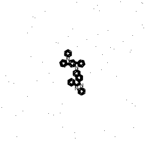 c1ccc(-c2nc3ccccc3nc2-c2ccc3cc(-n4c5ccccc5c5cc6c(cc54)c4ccccc4n6-c4ccccc4)ccc3c2)cc1